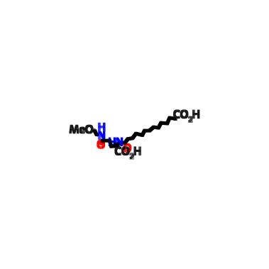 COCCNC(=O)CC[C@H](NC(=O)CCCCCCCCCCCCC(=O)O)C(=O)O